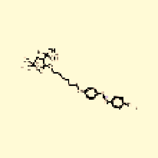 CCC(C)(C)CC(C(=O)OCCCCCCOc1ccc(/N=N/c2ccc(C)cc2)cc1)C(C)(C)CC